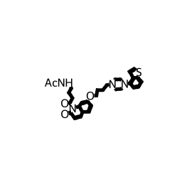 CC(=O)NCCCC(=O)N1C(=O)C=CC2C=CC(OCCCCN3CCN(c4cccc5sccc45)CC3)=CC21